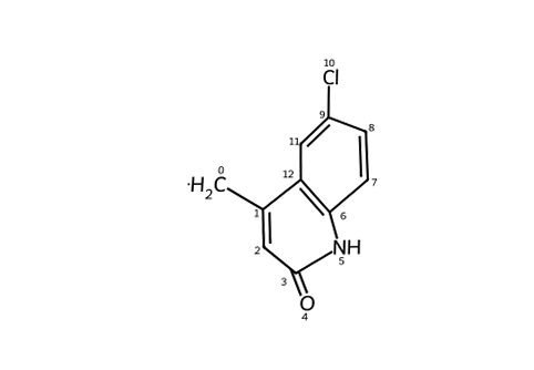 [CH2]c1cc(=O)[nH]c2ccc(Cl)cc12